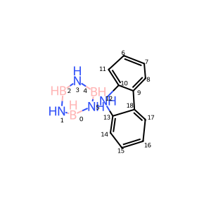 B1NBNBN1.c1ccc2c(c1)[nH]c1ccccc12